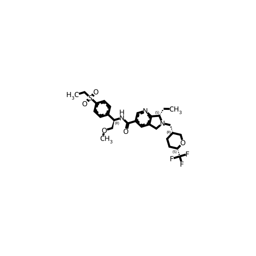 CC[C@H]1c2ncc(C(=O)N[C@@H](COC)c3ccc(S(=O)(=O)CC)cc3)cc2CN1C[C@H]1CC[C@@H](C(F)(F)F)OC1